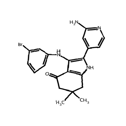 CC1(C)CC(=O)c2c([nH]c(-c3ccnc(N)c3)c2Nc2cccc(Br)c2)C1